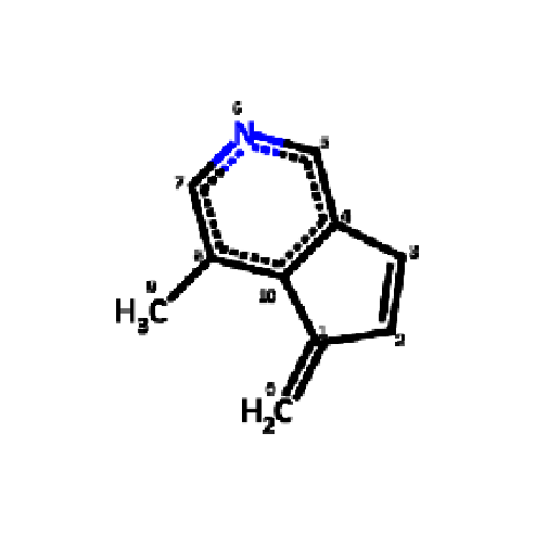 C=C1C=Cc2cncc(C)c21